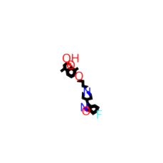 CC1=CC(O)Oc2c1ccc(OCCCCN1CCC(c3noc4cc(F)ccc34)CC1)c2C